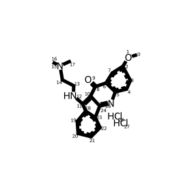 COc1ccc2c(c1)C(=O)C1=C(NCCN(C)C)c3ccccc3C1=N2.Cl.Cl